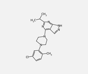 Cc1ccc(Cl)cc1N1CCN(c2nc(C(C)C)nc3[nH]ncc23)CC1